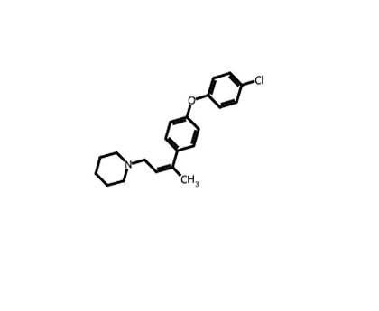 CC(=CCN1CCCCC1)c1ccc(Oc2ccc(Cl)cc2)cc1